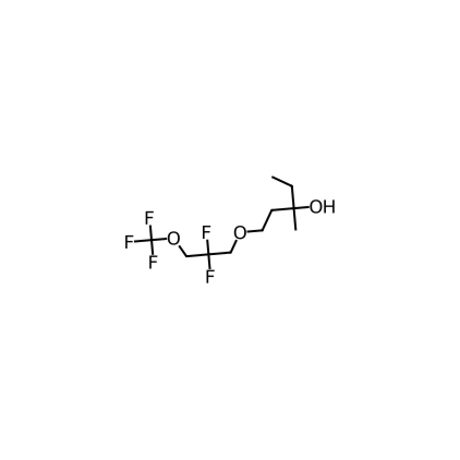 CCC(C)(O)CCOCC(F)(F)COC(F)(F)F